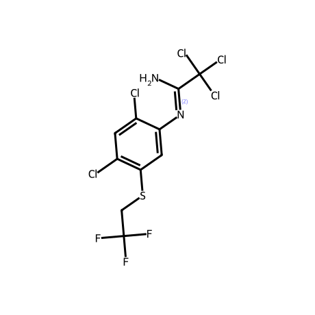 N/C(=N\c1cc(SCC(F)(F)F)c(Cl)cc1Cl)C(Cl)(Cl)Cl